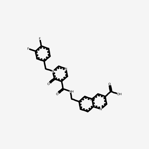 O=C(O)c1cnc2ccc(CNC(=O)c3cncn(Cc4ccc(F)c(F)c4)c3=O)cc2c1